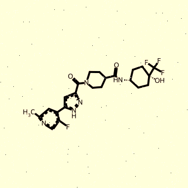 Cc1cc(-c2cc(C(=O)N3CCC(C(=O)N[C@H]4CC[C@](O)(C(F)(F)F)CC4)CC3)n[nH]2)c(F)cn1